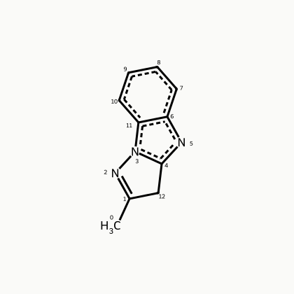 CC1=Nn2c(nc3ccccc32)C1